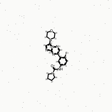 O=C(Nc1ccc(F)c(-c2cnn3c(N4CCOCC4)cnc3n2)c1)N1CCCC1